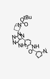 CN(C)c1cccc(C(=O)Nc2ccc(-c3nn(C4CC5CC4N(C(=O)OC(C)(C)C)C5)c4ncnc(N)c34)cc2)c1